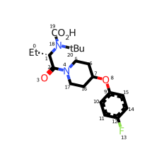 CC[C@@H](C(=O)N1CCC(Oc2ccc(F)cc2)CC1)N(C(=O)O)C(C)(C)C